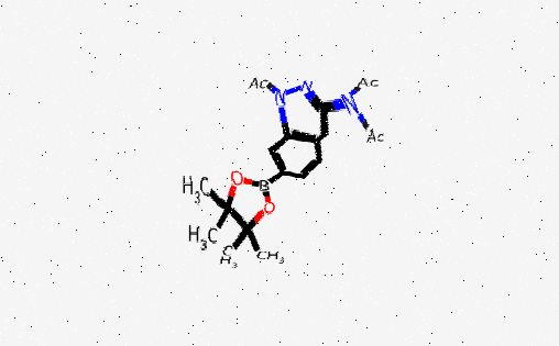 CC(=O)N(C(C)=O)c1nn(C(C)=O)c2cc(B3OC(C)(C)C(C)(C)O3)ccc12